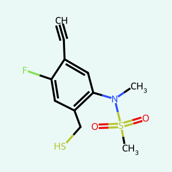 C#Cc1cc(N(C)S(C)(=O)=O)c(CS)cc1F